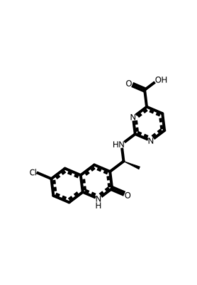 C[C@H](Nc1nccc(C(=O)O)n1)c1cc2cc(Cl)ccc2[nH]c1=O